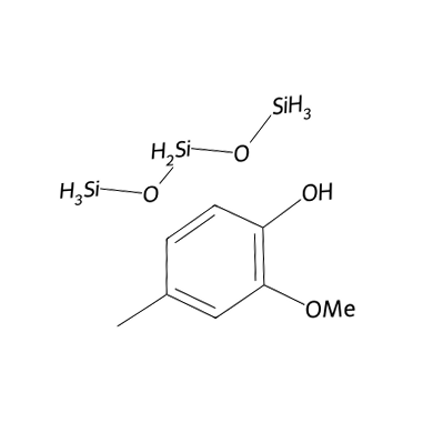 COc1cc(C)ccc1O.[SiH3]O[SiH2]O[SiH3]